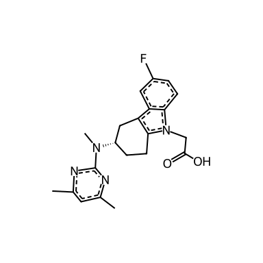 Cc1cc(C)nc(N(C)[C@H]2CCc3c(c4cc(F)ccc4n3CC(=O)O)C2)n1